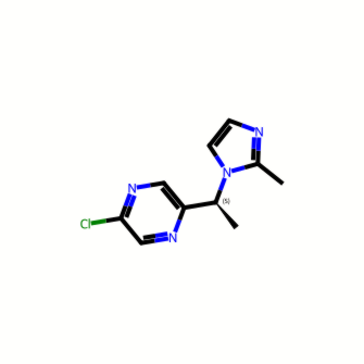 Cc1nccn1[C@@H](C)c1cnc(Cl)cn1